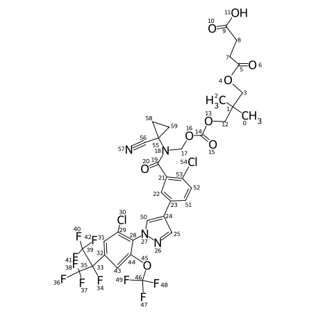 CC(C)(COC(=O)CCC(=O)O)COC(=O)OCN(C(=O)c1cc(-c2cnn(-c3c(Cl)cc(C(F)(C(F)(F)F)C(F)(F)F)cc3OC(F)(F)F)c2)ccc1Cl)C1(C#N)CC1